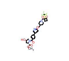 COC(=O)[C@@H]1C[C@@H](O)CN1C(=O)c1ccc(-c2ccc(OCC3CCN(CC4(S(=O)(=O)C(F)(F)F)CCC4)CC3)nc2)cc1